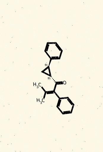 CC(C)=C(C(=O)[C@@H]1C[C@H]1c1ccccc1)c1ccccc1